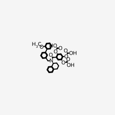 COc1ccccc1-c1cccc(CN(C(=O)c2cc(OC(=O)O)c(OC(=O)O)cc2OC(=O)O)[C@H]2CCCc3ccccc32)c1